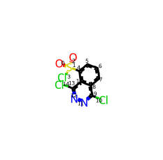 O=S(=O)(Cl)c1cccc2c(Cl)nnc(Cl)c12